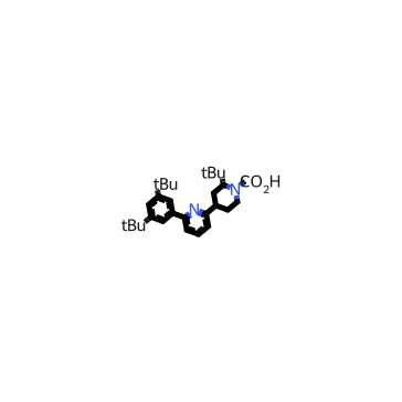 CC(C)(C)c1cc(-c2cccc(C3CCN(C(=O)O)C(C(C)(C)C)C3)n2)cc(C(C)(C)C)c1